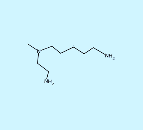 CN(CCN)CC[CH]CCN